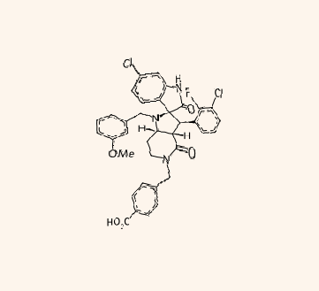 COc1cccc(CN2[C@H]3CCN(Cc4ccc(C(=O)O)cc4)C(=O)[C@H]3[C@H](c3cccc(Cl)c3F)[C@]23C(=O)Nc2cc(Cl)ccc23)c1